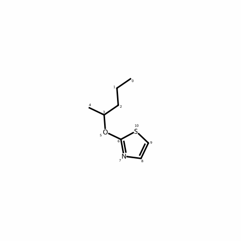 CCCC(C)Oc1nccs1